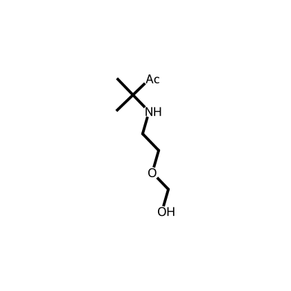 CC(=O)C(C)(C)NCCOCO